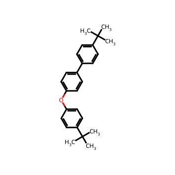 CC(C)(C)c1ccc(Oc2ccc(-c3ccc(C(C)(C)C)cc3)cc2)cc1